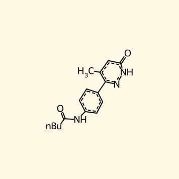 CCCCC(=O)Nc1ccc(-c2n[nH]c(=O)cc2C)cc1